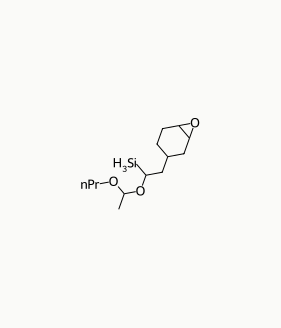 CCCOC(C)OC([SiH3])CC1CCC2OC2C1